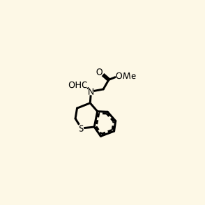 COC(=O)CN(C=O)C1CCSc2ccccc21